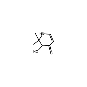 CC1(C)NC=CC(=O)C1O